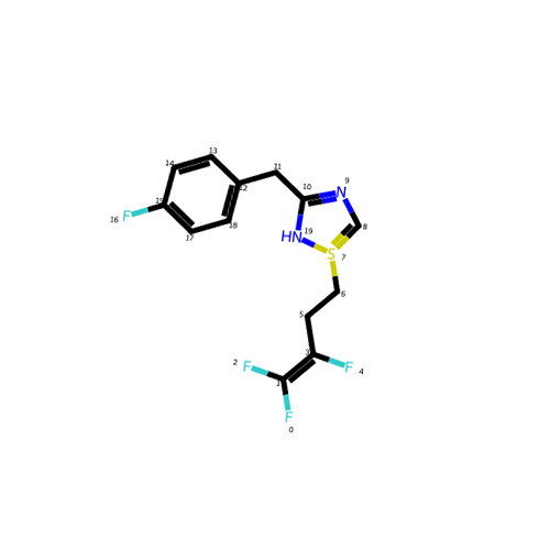 FC(F)=C(F)CCS1=CN=C(Cc2ccc(F)cc2)N1